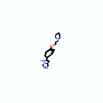 C1=NN=CN2NC(c3ccc(OCCCN4CCCCC4)cc3)=CC12